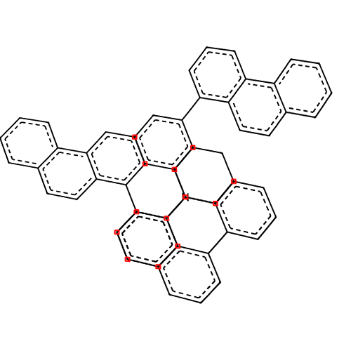 c1cc(-c2cccc3c2ccc2ccccc23)cc(N(c2ccccc2-c2cccc3c2ccc2ccccc23)c2ccccc2-c2cccc3cccc(C4CCCCC4)c23)c1